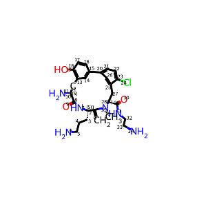 C=C1[C@H](CCCN)NC(=O)[C@@H](N)Cc2cc(ccc2O)-c2ccc(Cl)c(c2)C[C@@H](C(=O)NCCN)N1C